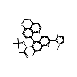 CC(=O)[C@@H](OC(C)(C)C)c1c(C)cc2nc(-c3nccn3C)ccc2c1-c1ccc2c3c(ccnc13)CCO2